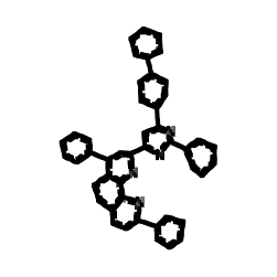 c1ccc(-c2ccc(-c3cc(-c4cc(-c5ccccc5)c5ccc6ccc(-c7ccccc7)nc6c5n4)nc(-c4ccccc4)n3)cc2)cc1